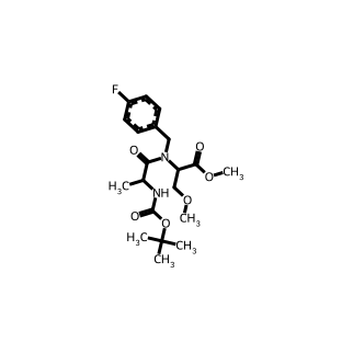 COCC(C(=O)OC)N(Cc1ccc(F)cc1)C(=O)C(C)NC(=O)OC(C)(C)C